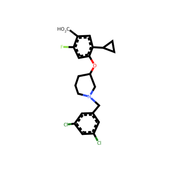 O=C(O)c1cc(C2CC2)c(OC2CCCN(Cc3cc(Cl)cc(Cl)c3)C2)cc1F